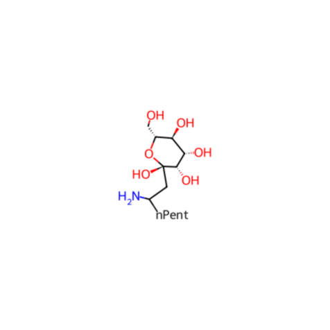 CCCCCC(N)C[C@]1(O)O[C@H](CO)[C@@H](O)[C@H](O)[C@@H]1O